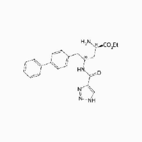 CCOC(=O)[C@H](N)C[C@@H](Cc1ccc(-c2ccccc2)cc1)NC(=O)c1c[nH]nn1